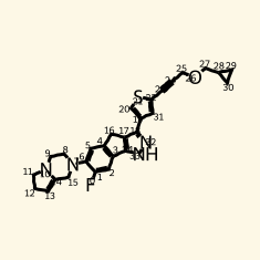 Fc1cc2c(cc1N1CCN3CCC=C3C1)Cc1c(-c3csc(C#CCOCC4CC4)c3)n[nH]c1-2